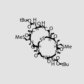 CSC[C@H]1C(=O)N(C)C[C@@H](NC(=O)OC(C)(C)C)C(=O)NCC(=O)N(C)[C@H]2CSSC[C@@H](C(=O)N1C)N(C)C(=O)CNC(=O)[C@H](NC(=O)OC(C)(C)C)CN(C)C(=O)[C@H](CSC)N(C)C2=O